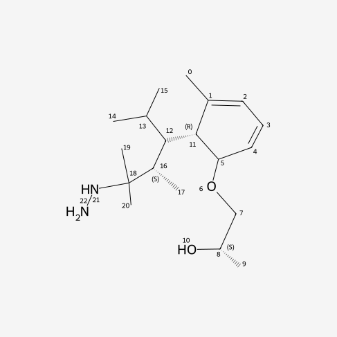 CC1=CC=CC(OC[C@H](C)O)[C@@H]1C(C(C)C)[C@H](C)C(C)(C)NN